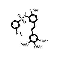 COc1ccc(C=Cc2cc(OC)c(OC)c(OC)c2)cc1NS(=O)(=O)c1cccc(N)c1